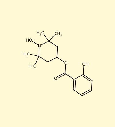 CC1(C)CC(OC(=O)c2ccccc2O)CC(C)(C)N1O